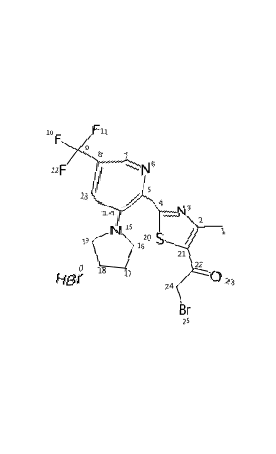 Br.Cc1nc(-c2ncc(C(F)(F)F)cc2N2CCCC2)sc1C(=O)CBr